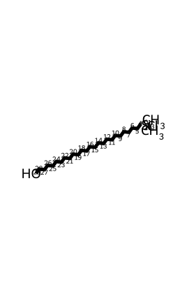 C[Si](C)(Cl)CCCCCCCCCCCCCCCCCCCCCCCCCO